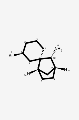 CC(=O)[C@H]1CCC[C@@]2(C1)[C@H]1CC[C@H](C1)[C@H]2N